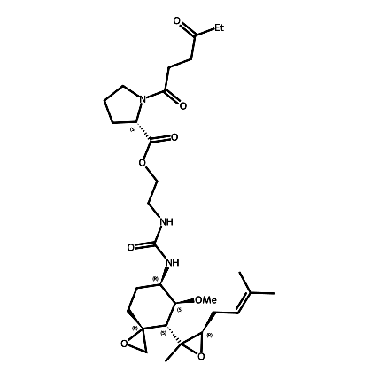 CCC(=O)CCC(=O)N1CCC[C@H]1C(=O)OCCNC(=O)N[C@@H]1CC[C@]2(CO2)[C@@H](C2(C)O[C@@H]2CC=C(C)C)[C@@H]1OC